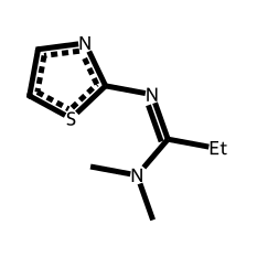 CCC(=Nc1nccs1)N(C)C